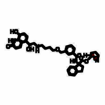 O=C(NC1(C(=O)O[C@H]2CN3CCC2CC3)CCc2ccccc21)c1cccc(COCCCCNC[C@H](O)c2ccc(O)c3[nH]c(=O)ccc23)c1